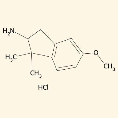 COc1ccc2c(c1)CC(N)C2(C)C.Cl